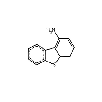 NC1=C2c3ccccc3SC2CC=C1